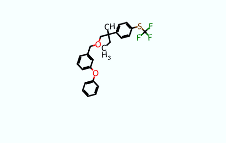 CCC(C)(COCc1cccc(Oc2ccccc2)c1)c1ccc(SC(F)(F)F)cc1